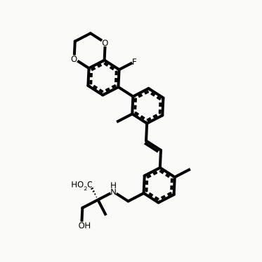 Cc1ccc(CN[C@@](C)(CO)C(=O)O)cc1/C=C/c1cccc(-c2ccc3c(c2F)OCCO3)c1C